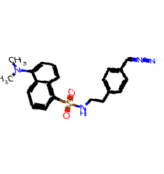 CN(C)c1cccc2c(S(=O)(=O)NCCc3ccc(C=[N+]=[N-])cc3)cccc12